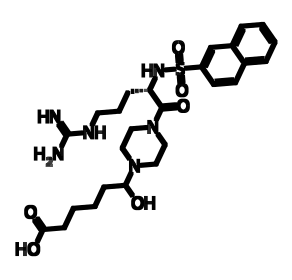 N=C(N)NCCC[C@H](NS(=O)(=O)c1ccc2ccccc2c1)C(=O)N1CCN(C(O)CCCCC(=O)O)CC1